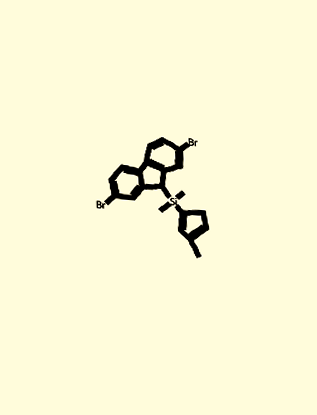 CC1=CCC([Si](C)(C)C2c3cc(Br)ccc3-c3ccc(Br)cc32)=C1